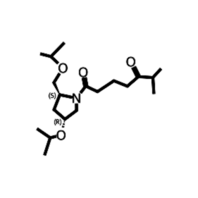 CC(C)OC[C@@H]1C[C@@H](OC(C)C)CN1C(=O)CCCC(=O)C(C)C